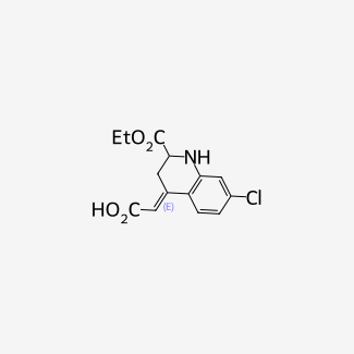 CCOC(=O)C1C/C(=C\C(=O)O)c2ccc(Cl)cc2N1